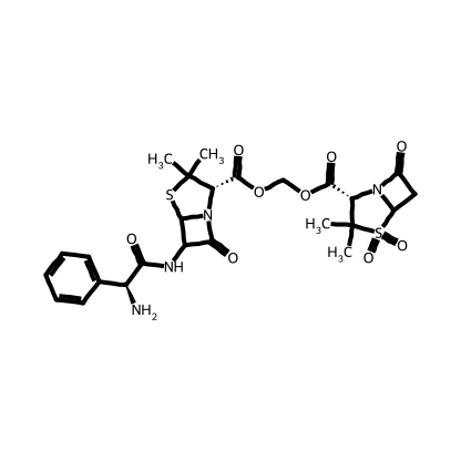 CC1(C)SC2C(NC(=O)[C@@H](N)c3ccccc3)C(=O)N2[C@H]1C(=O)OCOC(=O)[C@@H]1N2C(=O)CC2S(=O)(=O)C1(C)C